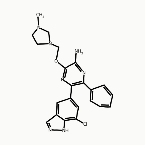 CN1CCN(COc2nc(-c3cc(Cl)c4[nH]ncc4c3)c(-c3ccccc3)nc2N)C1